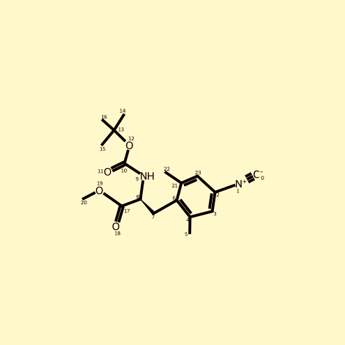 [C-]#[N+]c1cc(C)c(C[C@H](NC(=O)OC(C)(C)C)C(=O)OC)c(C)c1